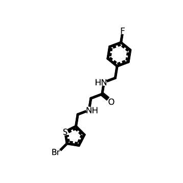 O=C(CNCc1ccc(Br)s1)NCc1ccc(F)cc1